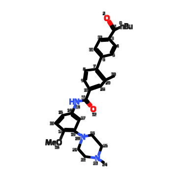 CCCCC(=O)c1ccc(-c2ccc(C(=O)Nc3ccc(OC)c(N4CCN(C)CC4)c3)cc2C)cc1